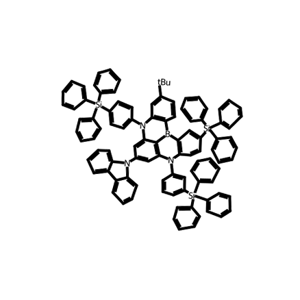 CC(C)(C)c1ccc2c(c1)N(c1ccc([Si](c3ccccc3)(c3ccccc3)c3ccccc3)cc1)c1cc(-n3c4ccccc4c4ccccc43)cc3c1B2c1cc([Si](c2ccccc2)(c2ccccc2)c2ccccc2)ccc1N3c1cccc([Si](c2ccccc2)(c2ccccc2)c2ccccc2)c1